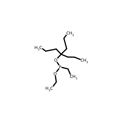 CCCC(CCC)(CCC)OP(CC)OCC